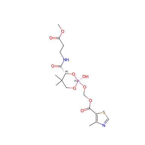 COC(=O)CCNC(=O)[C@@H]1O[P@@](O)(OCOC(=O)c2scnc2C)OCC1(C)C